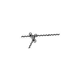 CCCCCCCCC=CCCCCCCCCOC(COC(=O)CCCCCCC)COC(=O)CCCCCCC